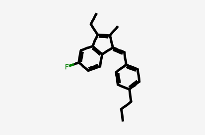 CCCc1ccc(/C=C2/C(C)=C(CC)c3cc(F)ccc32)cc1